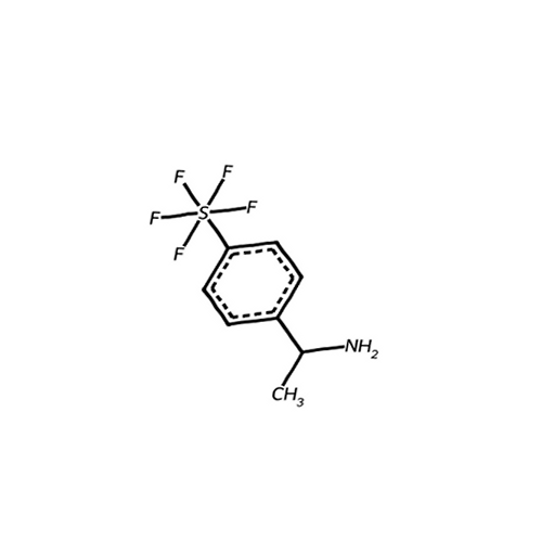 CC(N)c1ccc(S(F)(F)(F)(F)F)cc1